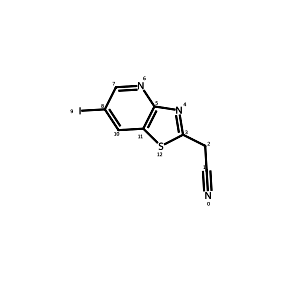 N#CCc1nc2ncc(I)cc2s1